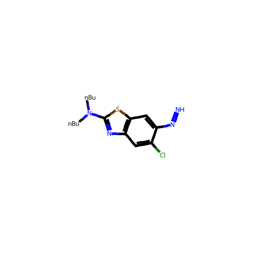 CCCCN(CCCC)c1nc2cc(Cl)c(N=N)cc2s1